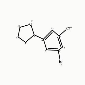 Clc1cc(Br)cc(C2[CH]CCO2)c1